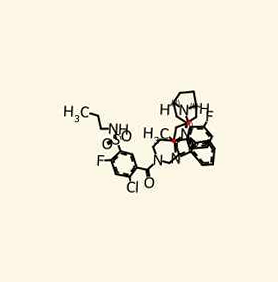 CCCNS(=O)(=O)c1cc(C(=O)N2CCC(CCN3[C@@H]4CC[C@H]3C[C@@H](n3c(C)nc5ccccc53)C4)(c3cccc(F)c3)CC2)c(Cl)cc1F